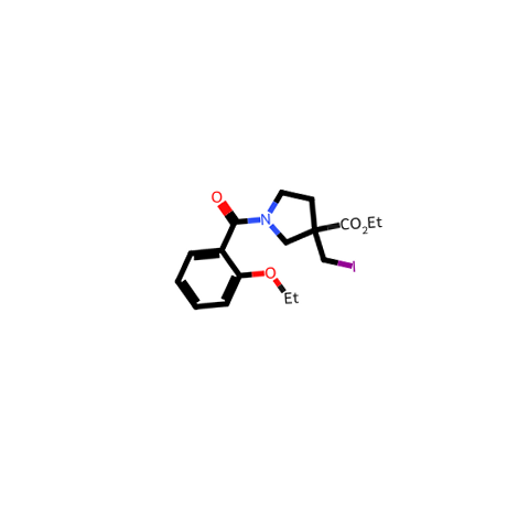 CCOC(=O)C1(CI)CCN(C(=O)c2ccccc2OCC)C1